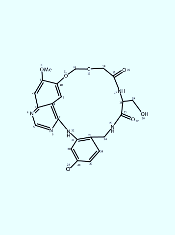 COc1cc2ncnc3c2cc1OCCCC(=O)NC(CO)C(=O)NCc1ccc(Cl)cc1N3